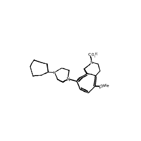 COc1ccc(N2CCN(C3CCCCC3)CC2)c2c1CCN(C(=O)O)C2